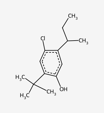 CCC(C)c1cc(O)c(C(C)(C)C)cc1Cl